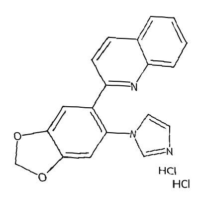 Cl.Cl.c1ccc2nc(-c3cc4c(cc3-n3ccnc3)OCO4)ccc2c1